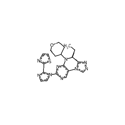 CCC1c2nncn2-c2cnc(-n3ccnc3-c3nccs3)nc2N1C1CCOCC1